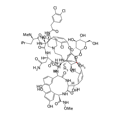 CN[C@H](CC(C)C)C(=O)N[C@H]1C(=O)N[C@@H](CC(N)=O)C(=O)N[C@H]2C(=O)N[C@H]3C(=O)N[C@H](C(=O)N[C@@H](C(=O)NOC)c4cc(O)cc(O)c4-c4cc3ccc4O)[C@H](O)c3ccc(c(Cl)c3)Oc3cc2cc(c3O[C@@H]2O[C@H](CO)[C@@H](O)[C@H](O)[C@H]2O[C@H]2C[C@](C)(NCCN3CCC(NC(=O)Cc4ccc(Cl)c(Cl)c4)CC3)[C@H](O)[C@H](C)O2)Oc2ccc(cc2Cl)[C@H]1O